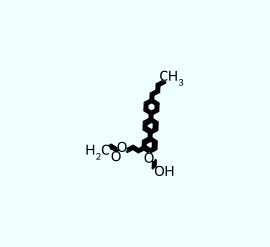 C=CC(=O)OCCCc1cc(-c2ccc(C3CCC(CCCCC)CC3)cc2)ccc1OCCO